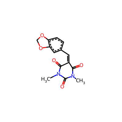 CN1C(=O)C(=Cc2ccc3c(c2)OCO3)C(=O)N(C)C1=O